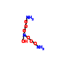 NCCOCCOCCOCCN(CCCO)CCOCCOCCOCCN